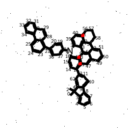 CC1(C)c2ccccc2-c2ccc(-c3ccc(N(c4ccc(-c5cccc6c5ccc5ccccc56)cc4)c4ccccc4-c4cccc5cccc(C6CCCCC6)c45)cc3)cc21